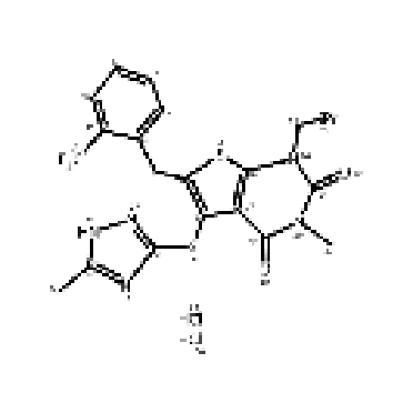 Cc1nc(Sc2c(Cc3ccccc3C(F)(F)F)sc3c2c(=O)n(C)c(=O)n3CC(C)C)n[nH]1.Cl.Cl